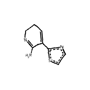 NC1=NCCC=C1c1nccs1